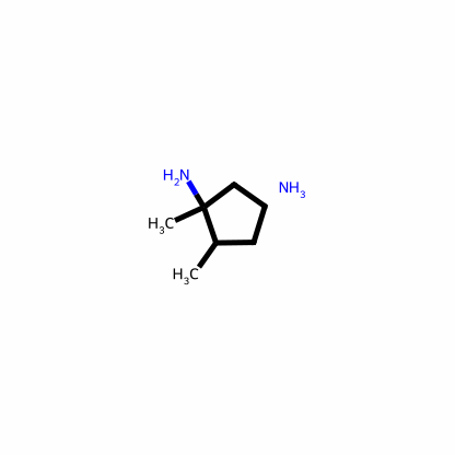 CC1CCCC1(C)N.N